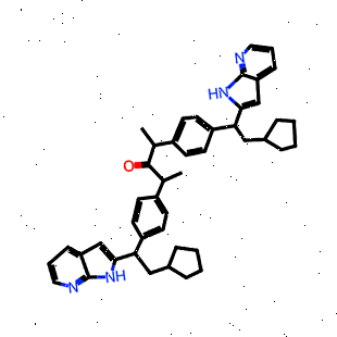 CC(C(=O)C(C)c1ccc(C(CC2CCCC2)c2cc3cccnc3[nH]2)cc1)c1ccc(C(CC2CCCC2)c2cc3cccnc3[nH]2)cc1